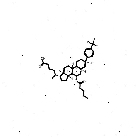 CCCCC(=O)O[C@@H]1C[C@@H]2C[C@](O)(c3ccc(C(F)(F)F)cc3)CC[C@]2(C)[C@H]2CC[C@]3(C)[C@@H](C(C)CCCC(=O)O)CC[C@H]3[C@H]12